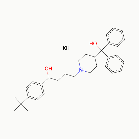 CC(C)(C)c1ccc([C@H](O)CCCN2CCC(C(O)(c3ccccc3)c3ccccc3)CC2)cc1.[KH]